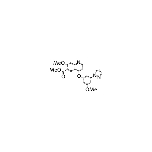 COC(=O)c1cc2c(Oc3cc(OC)cc(-n4cccn4)c3)ccnc2cc1OC